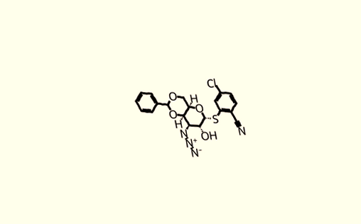 N#Cc1ccc(Cl)cc1S[C@H]1O[C@@H]2COC(c3ccccc3)O[C@@H]2[C@H](N=[N+]=[N-])[C@H]1O